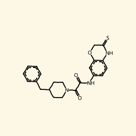 O=C(Nc1ccc2c(c1)OCC(=S)N2)C(=O)N1CCC(Cc2ccccc2)CC1